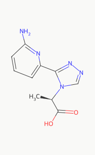 C[C@H](C(=O)O)n1cnnc1-c1cccc(N)n1